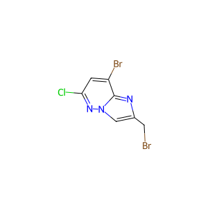 Clc1cc(Br)c2nc(CBr)cn2n1